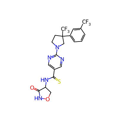 O=C1NOCC1NC(=S)c1cnc(N2CCC(c3cccc(C(F)(F)F)c3)(C(F)(F)F)C2)nc1